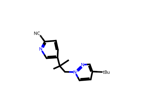 CC(C)(C)c1cc[n+](CC(C)(C)c2ccc(C#N)nc2)nc1